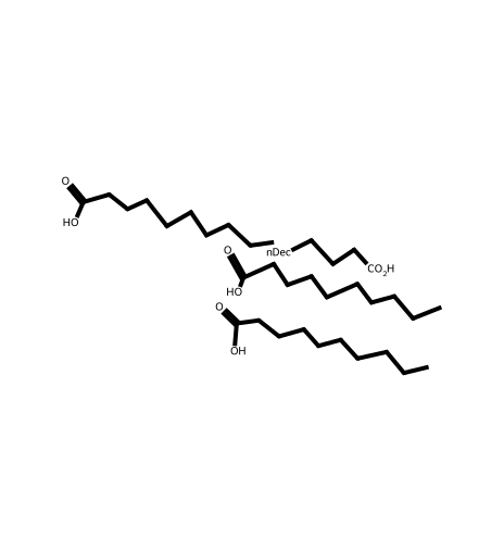 CCCCCCCCCC(=O)O.CCCCCCCCCC(=O)O.CCCCCCCCCC(=O)O.CCCCCCCCCCCCCC(=O)O